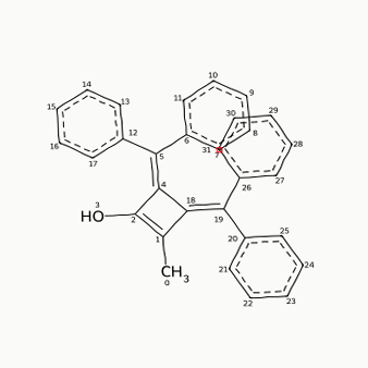 CC1=C(O)C(=C(c2ccccc2)c2ccccc2)C1=C(c1ccccc1)c1ccccc1